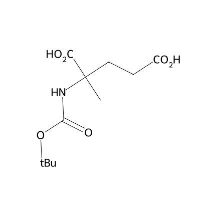 CC(C)(C)OC(=O)NC(C)(CCC(=O)O)C(=O)O